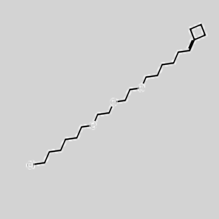 ClCCCCCCOCCOCCOCCCCCC=C1CCC1